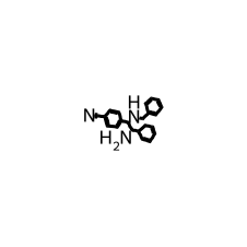 N#Cc1ccc([C@@H](NCc2ccccc2)C(N)C2C=CC=CC2)cc1